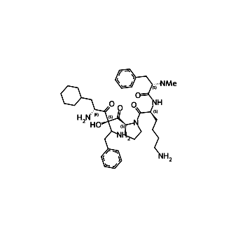 CN[C@@H](Cc1ccccc1)C(=O)N[C@@H](CCCCN)C(=O)N1CCC[C@H]1C(=O)[C@@](O)(C(=O)[C@H](N)CC1CCCCC1)C(N)Cc1ccccc1